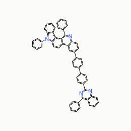 c1ccc(-c2nc(-c3ccc(-c4ccc(-c5ccc6nc(-c7ccccc7)c7c(ccc8c7c7ccccc7n8-c7ccccc7)c6c5)cc4)cc3)nc3ccccc23)cc1